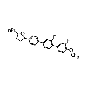 CCCC1CCC(c2ccc(-c3ccc(-c4ccc(OC(F)(F)F)c(F)c4)c(F)c3)cc2)O1